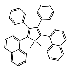 C[Si]1(C)C(c2nccc3ccccc23)=C(c2ccccc2)C(c2ccccc2)=C1c1nccc2ccccc12